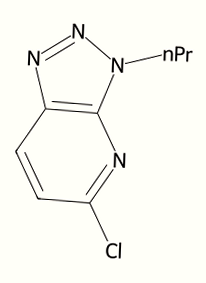 CCCn1nnc2ccc(Cl)nc21